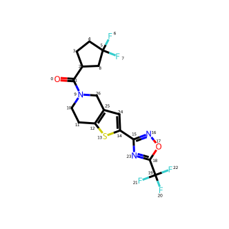 O=C(C1CCC(F)(F)C1)N1CCc2sc(-c3noc(C(F)(F)F)n3)cc2C1